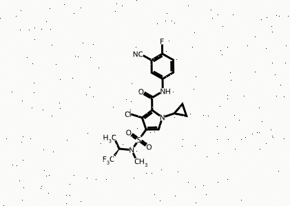 C[C@@H](N(C)S(=O)(=O)c1cn(C2CC2)c(C(=O)Nc2ccc(F)c(C#N)c2)c1Cl)C(F)(F)F